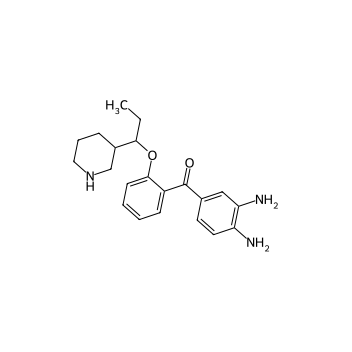 CCC(Oc1ccccc1C(=O)c1ccc(N)c(N)c1)C1CCCNC1